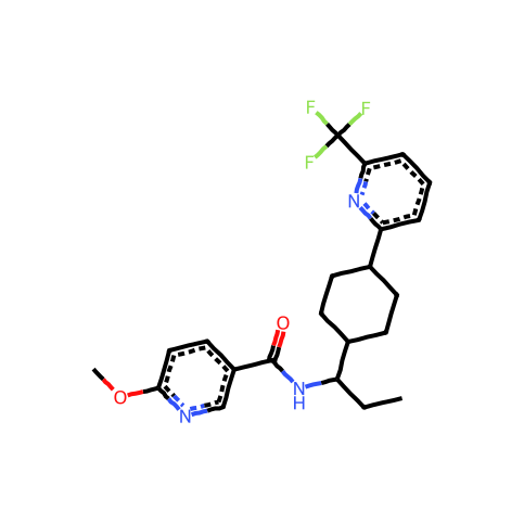 CCC(NC(=O)c1ccc(OC)nc1)C1CCC(c2cccc(C(F)(F)F)n2)CC1